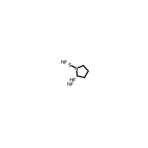 F.F.F.[S]N1CCCC1